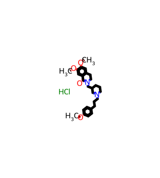 COc1ccc(CCCN2CCCC(CN3CCc4cc(OC)c(OC)cc4C3=O)C2)cc1.Cl